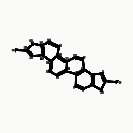 Fc1cc2c(ccc3c2ccc2c4ccc5sc(F)cc5c4ccc32)s1